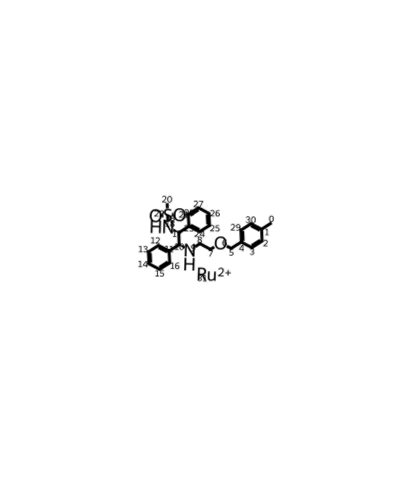 Cc1ccc(COCCN[C@@H](c2ccccc2)[C@@H](NS(C)(=O)=O)c2ccccc2)cc1.[Ru+2]